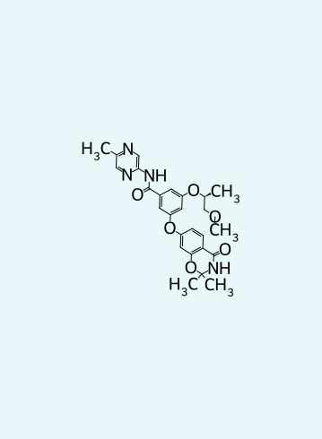 COC[C@H](C)Oc1cc(Oc2ccc3c(c2)OC(C)(C)NC3=O)cc(C(=O)Nc2cnc(C)cn2)c1